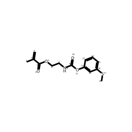 C=C(C)C(=O)OCCNC(=O)Oc1cccc(SC)c1